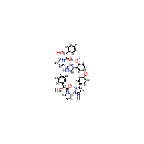 COc1ccc(Oc2ccc(C3CNC([C@@H]4CCCN4C(=O)[C@@H](O)c4ccccc4)=N3)cc2)cc1C1CNC([C@@H]2CCCN2C(=O)[C@@H](O)c2ccccc2)=N1